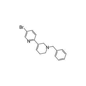 Brc1ccc(C2=CCCN(Cc3ccccc3)C2)nc1